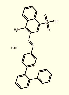 Nc1c(N=Nc2ccc(-c3ccccc3-c3ccccc3)nc2)cc(S(=O)(=O)O)c2ccccc12.[NaH]